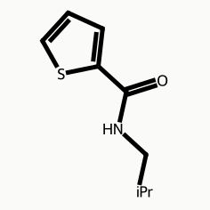 CC(C)CNC(=O)c1cccs1